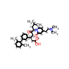 Cc1cccc(C)c1-c1cccc([C@H](CC(=O)O)CC(=O)C(CC(C)C)n2ccc(CCN(C)C)cc2=O)c1